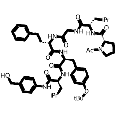 CC(=O)N1CCC[C@H]1C(=O)N[C@@H](CC(C)C)C(=O)NCC(=O)N[C@@H](CCc1ccccc1)C(=O)N[C@@H](Cc1ccc(OC(C)(C)C)cc1)C(=O)N[C@@H](CC(C)C)C(=O)Nc1ccc(CO)cc1